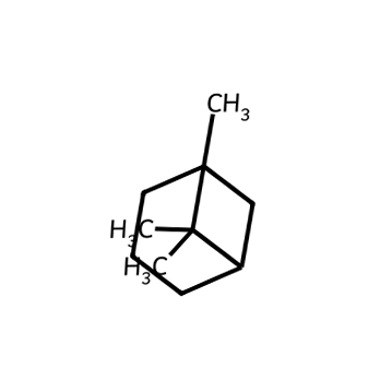 CC12CCCC(C1)C2(C)C